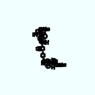 COC(=O)N[C@H](C(=O)N1CCCC[C@H]1c1ncc(-c2ccc(-c3ccc(-c4cnc([C@@H]5CCCCN5C(=O)[C@@H](NC(=O)OC)C(C)C)[nH]4)c4c3C3CCC4O3)cc2)[nH]1)C(C)C